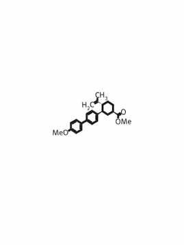 C=C(C)[C@@H]1CC[C@@H](C(=O)OC)C[C@H]1c1ccc(-c2ccc(OC)cc2)cc1